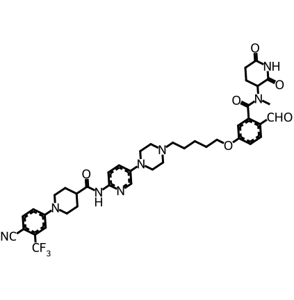 CN(C(=O)c1cc(OCCCCCN2CCN(c3ccc(NC(=O)C4CCN(c5ccc(C#N)c(C(F)(F)F)c5)CC4)nc3)CC2)ccc1C=O)C1CCC(=O)NC1=O